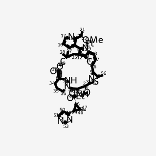 CCO[C@@H]1C2=NC(c3ccc4c(c3)c(c(-c3cccnc3[C@H](C)OC)n4CC)CC(C)(C)COC(=O)[C@@H]3CCCN(N3)C(=O)[C@H]1NC(=O)[C@@H]1[C@@H](C)[C@H]1c1ccncn1)C(C)S2